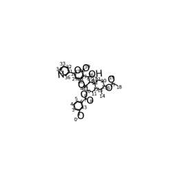 COc1cccc(C(=O)OC2CC3C(C)C(OC(C)=O)CCC3(C)C3C(O)c4c(cc(-c5cccnc5)oc4=O)OC23C)c1